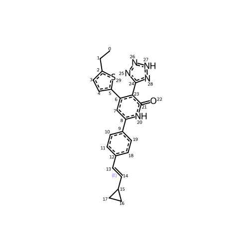 CCc1ccc(-c2cc(-c3ccc(/C=C/C4CC4)cc3)[nH]c(=O)c2-c2nn[nH]n2)s1